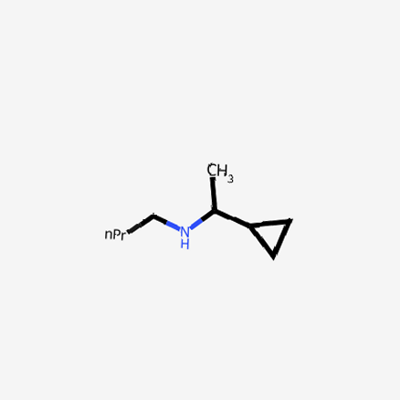 CCC[CH]NC(C)C1CC1